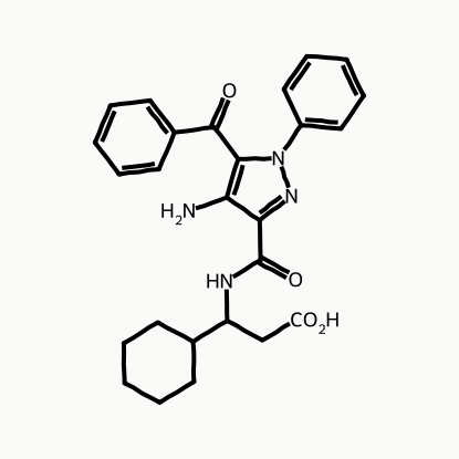 Nc1c(C(=O)NC(CC(=O)O)C2CCCCC2)nn(-c2ccccc2)c1C(=O)c1ccccc1